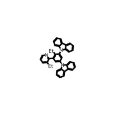 CCc1cccnc1-c1cc(-n2c3ccccc3c3ccccc32)cc(-n2c3ccccc3c3ccccc32)c1CC